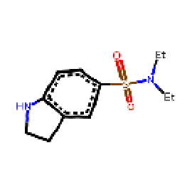 CCN(CC)S(=O)(=O)c1ccc2c(c1)CCN2